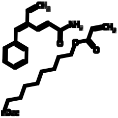 C=CC(=O)OCCCCCCCCCCCCCCCCCC.C=CC(C=CC(N)=O)=Cc1ccccc1